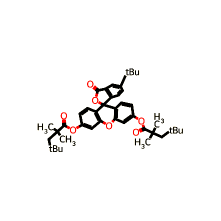 CC(C)(C)CC(C)(C)C(=O)Oc1ccc2c(c1)Oc1cc(OC(=O)C(C)(C)CC(C)(C)C)ccc1C21OC(=O)c2cc(C(C)(C)C)ccc21